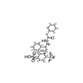 CC(=NNC(=O)Cc1ccccc1)c1ccccc1-c1cc(C(F)(F)F)ccc1S(=O)(=O)O